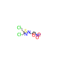 O=[N+]([O-])c1ccc(C=Nc2nc(CCl)c(CCCl)s2)o1